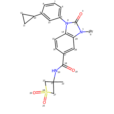 CC(C)n1c(=O)n(-c2cccc(C3CC3)c2)c2ccc(C(=O)NC3(C)CS(=O)(=O)C3)cc21